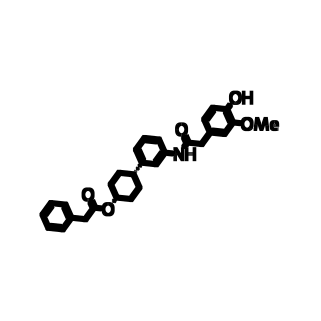 COc1cc(CC(=O)Nc2cccc([C@H]3CC[C@@H](OC(=O)Cc4ccccc4)CC3)c2)ccc1O